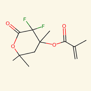 C=C(C)C(=O)OC1(C)CC(C)(C)OC(=O)C1(F)F